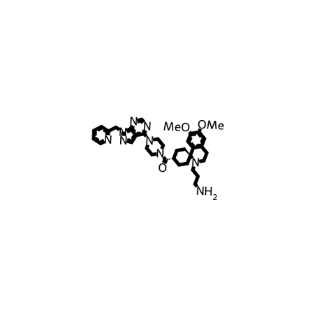 COc1cc2c(cc1OC)[C@]1(CC[C@@H](C(=O)N3CCN(c4ncnc5c4cnn5Cc4ccccn4)CC3)CC1)N(CCCN)CC2